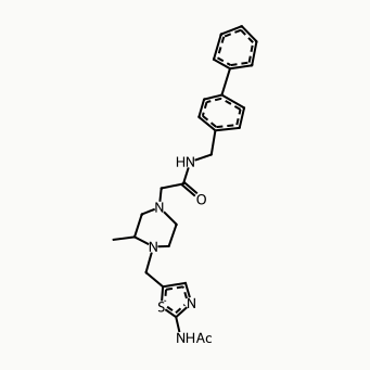 CC(=O)Nc1ncc(CN2CCN(CC(=O)NCc3ccc(-c4ccccc4)cc3)CC2C)s1